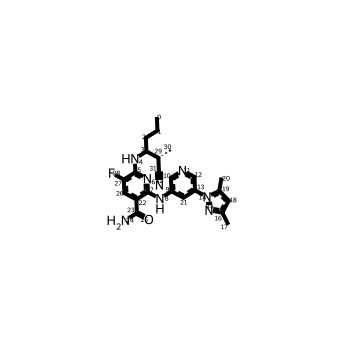 CCCC(Nc1nc(Nc2cncc(-n3nc(C)cc3C)c2)c(C(N)=O)cc1F)[C@H](C)C#N